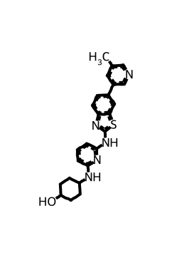 Cc1cncc(-c2ccc3nc(Nc4cccc(NC5CCC(O)CC5)n4)sc3c2)c1